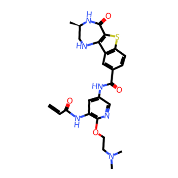 C=CC(=O)Nc1cc(NC(=O)c2ccc3sc4c(c3c2)NC[C@@H](C)NC4=O)cnc1OCCN(C)C